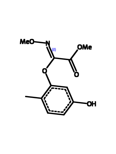 CO/N=C(\Oc1cc(O)ccc1C)C(=O)OC